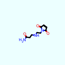 NC(=O)CCNCCN1C(=O)C=CC1=O